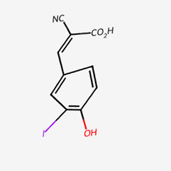 N#CC(=Cc1ccc(O)c(I)c1)C(=O)O